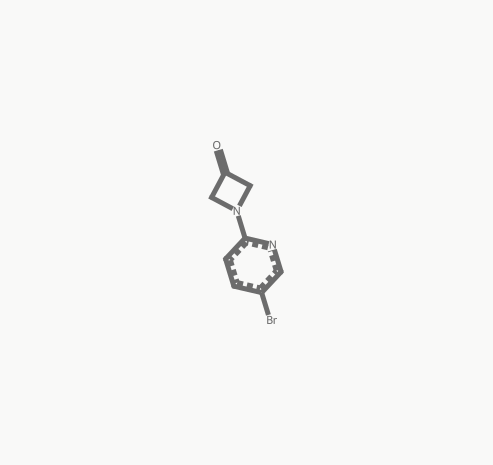 O=C1CN(c2ccc(Br)cn2)C1